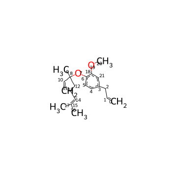 C=CCc1ccc(OC(C)(C=C)CCC=C(C)C)c(OC)c1